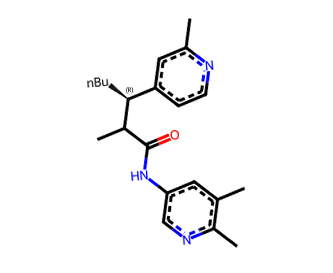 CCCC[C@@H](c1ccnc(C)c1)C(C)C(=O)Nc1cnc(C)c(C)c1